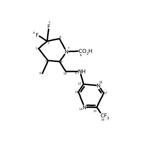 CC1CC(F)(F)CN(C(=O)O)C1CNc1cnc(C(F)(F)F)cn1